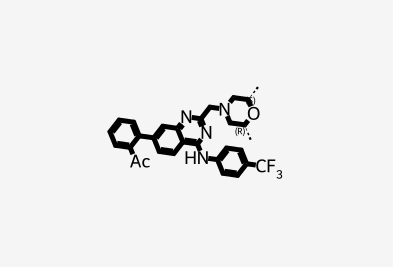 CC(=O)c1ccccc1-c1ccc2c(Nc3ccc(C(F)(F)F)cc3)nc(CN3C[C@@H](C)O[C@@H](C)C3)nc2c1